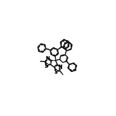 Cc1nc2c(s1)-c1sc(C)nc1C2(c1cc(-c2ccccc2)cc(-c2ccccc2)c1)C1C=C(c2ccccc2)C=C(c2ccccc2)C1